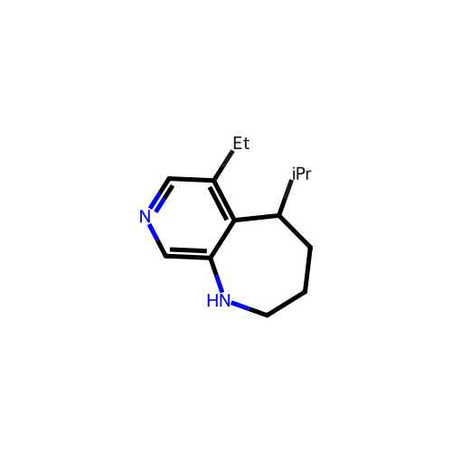 CCc1cncc2c1C(C(C)C)CCCN2